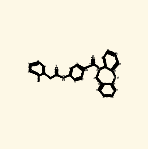 Cc1ccccc1CC(=O)Nc1ccc(C(=O)N2Cc3ccccc3Sc3ccccc32)cc1